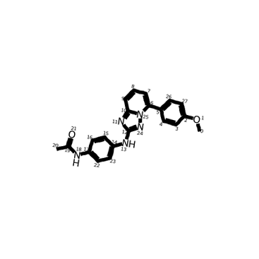 COc1ccc(-c2cccc3nc(Nc4ccc(NC(C)=O)cc4)nn23)cc1